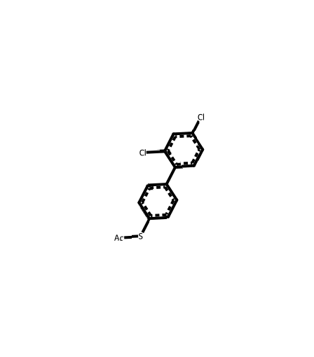 CC(=O)Sc1ccc(-c2ccc(Cl)cc2Cl)cc1